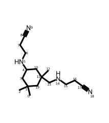 CC1(C)CC(NCCC#N)CC(C)(CNCCC#N)C1